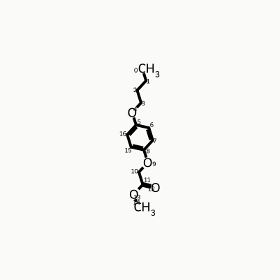 CCCCOc1ccc(OCC(=O)OC)cc1